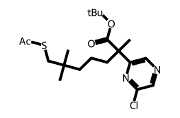 CC(=O)SCC(C)(C)CCCC(C)(C(=O)OC(C)(C)C)c1cncc(Cl)n1